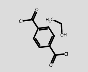 CCO.O=C(Cl)c1ccc(C(=O)Cl)cc1